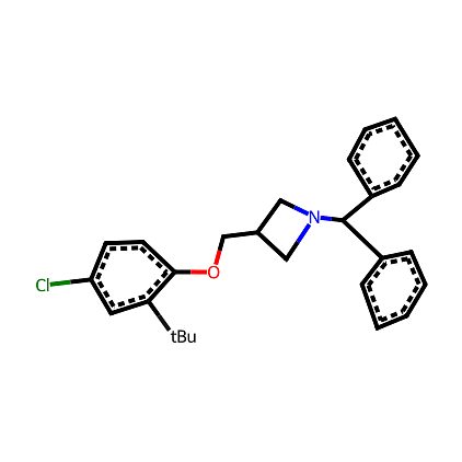 CC(C)(C)c1cc(Cl)ccc1OCC1CN(C(c2ccccc2)c2ccccc2)C1